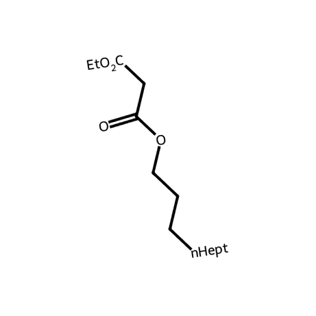 CCCCCCCCCCOC(=O)CC(=O)OCC